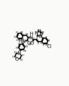 O=C(C=Cc1cc(Cl)ccc1-n1cnnn1)NC(Cc1ccccc1)C(=O)Nc1ccc(N2CCOCC2)cc1